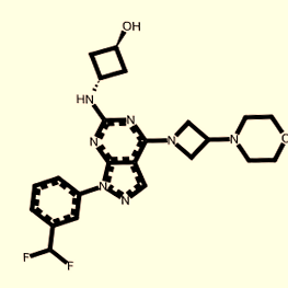 O[C@H]1C[C@H](Nc2nc(N3CC(N4CCOCC4)C3)c3cnn(-c4cccc(C(F)F)c4)c3n2)C1